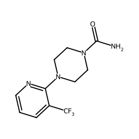 NC(=O)N1CCN(c2ncccc2C(F)(F)F)CC1